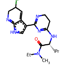 CCN(C)C(=O)[C@H](NC1=NC(c2c[nH]c3c2=CC(Cl)CN=3)=NCC1)C(C)C